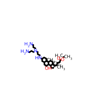 CC(C)OC(=O)CC[C@@H](C)[C@H]1CCC2C3C(CC[C@@]21C)[C@@]1(C)CC[C@H](NCCCN(CCCN)CCCN)CC1C[C@H]3O